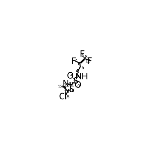 O=S(=O)(NCCC(F)=C(F)F)c1ncc(Cl)s1